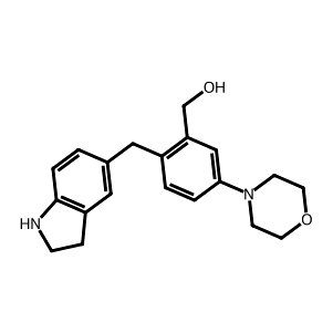 OCc1cc(N2CCOCC2)ccc1Cc1ccc2c(c1)CCN2